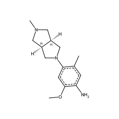 COc1cc(N2C[C@H]3CN(C)C[C@H]3C2)c(C)cc1N